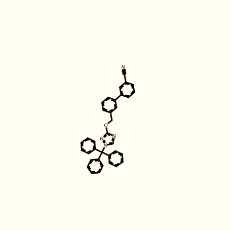 N#Cc1cccc(-c2cccc(COc3ncn(C(c4ccccc4)(c4ccccc4)c4ccccc4)n3)c2)c1